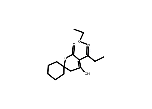 CCO/N=C(/CC)C1=C(O)CC2(CCCCC2)OC1=O